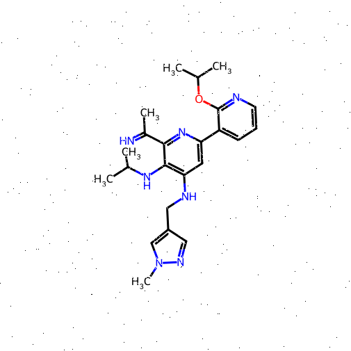 CC(=N)c1nc(-c2cccnc2OC(C)C)cc(NCc2cnn(C)c2)c1NC(C)C